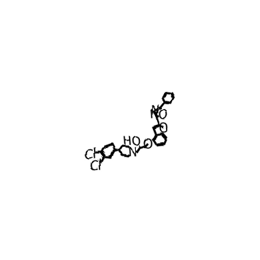 O[C@H](COc1cccc2oc(-c3nnc(-c4ccccc4)o3)cc12)CN1CCC(c2ccc(Cl)c(Cl)c2)CC1